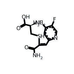 Cc1c(F)cnc2c1[SH](C[C@H](N)C(=O)O)C(C(N)=O)=C2